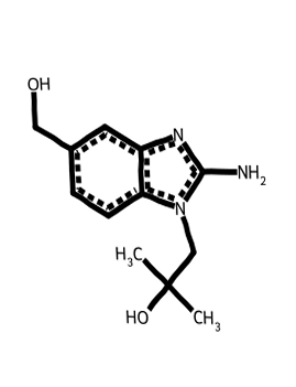 CC(C)(O)Cn1c(N)nc2cc(CO)ccc21